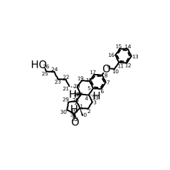 C[C@]12CC[C@@H]3c4ccc(OCc5ccccc5)cc4C[C@@H](CCCCCO)[C@H]3[C@@H]1CCC2=O